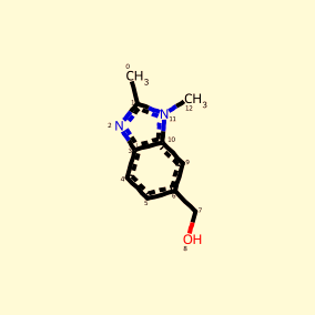 Cc1nc2ccc(CO)cc2n1C